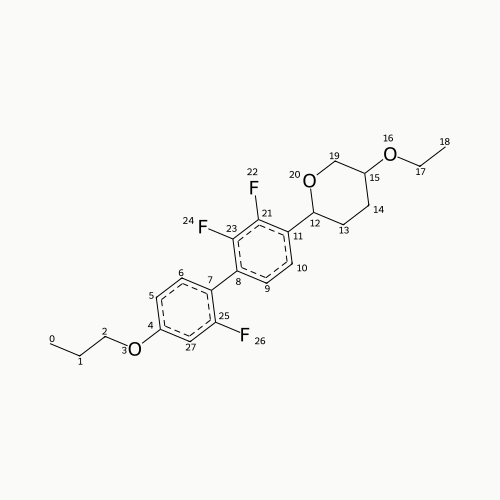 CCCOc1ccc(-c2ccc(C3CCC(OCC)CO3)c(F)c2F)c(F)c1